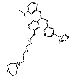 COc1cccc(CN(Cc2cccc(-n3cccn3)c2)c2cccc(COCCOCCN3CCOCC3)c2)c1